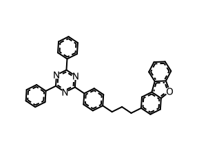 c1ccc(-c2nc(-c3ccccc3)nc(-c3ccc(CCCc4ccc5oc6ccccc6c5c4)cc3)n2)cc1